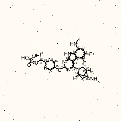 CNc1cc(F)c(F)c2c1[nH]c1nc(Oc3cnc([C@@H](C)OP(=O)(O)O)nc3)nc(N3C[C@H]4C[C@@H]3C[C@H]4N)c12